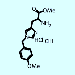 COC(=O)C(N)Cc1cn(Cc2ccc(OC)cc2)cn1.Cl.Cl